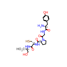 N[C@@H](Cc1ccc(O)cc1)C(=O)NCC(=O)N1CCC[C@H]1C(=O)N[C@@H](CS)C(=O)N[C@@H](CO)C(=O)O